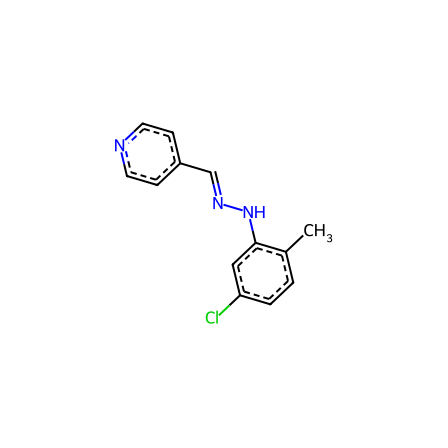 Cc1ccc(Cl)cc1N/N=C/c1ccncc1